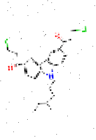 CCC(C)CCCn1c2ccc(C(=O)CCCl)cc2c2cc(C(=O)CCCl)ccc21